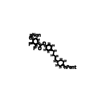 CCCCCCCCCOc1ccc(C(=O)Oc2ccc(CCC=CC3CCC(CCCCC)CC3)cc2)c(F)c1F